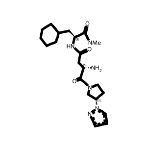 CNC(=O)[C@H](CC1CCCCC1)NC(=O)C[C@H](N)C(=O)N1CC[C@H](n2cccn2)C1